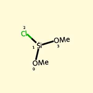 CO[Si](Cl)OC